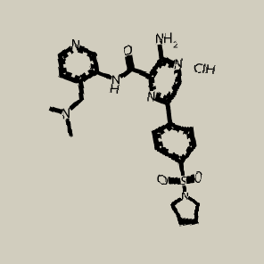 CN(C)Cc1ccncc1NC(=O)c1nc(-c2ccc(S(=O)(=O)N3CCCC3)cc2)cnc1N.Cl